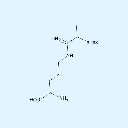 CCCCCCC(C)C(=N)NCCCC(N)C(=O)O